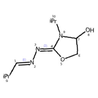 CC(C)/C=N/N=C1\OCC(O)N1C(C)C